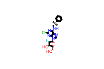 C[Si](C)(CNc1nc(Cl)nc2c1ncn2[C@@H]1O[C@H](CO)[C@@H](O)[C@H]1F)c1ccccc1